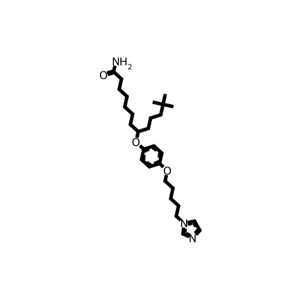 CC(C)(C)CCCC(CCCCCCC(N)=O)Oc1ccc(OCCCCCn2ccnc2)cc1